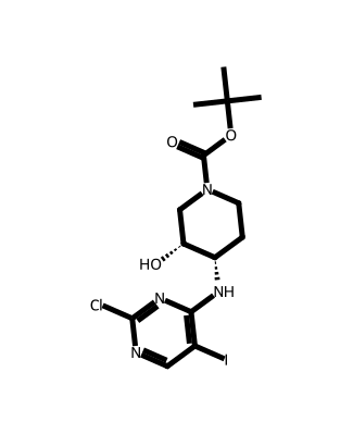 CC(C)(C)OC(=O)N1CC[C@H](Nc2nc(Cl)ncc2I)[C@H](O)C1